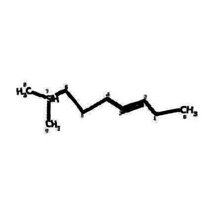 CCC=CCCC[SiH](C)C